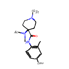 CCOC(=O)N1CCC(C(=O)Nc2ccc(OC)cc2C)(N(C)C(C)=O)CC1